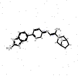 C/C(=C\N=C1\C=CC(c2ccc3oc(N)nc3c2)=NC1)N1CC2CCC(C1)O2